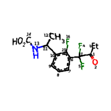 CCC(=O)C(F)(F)c1cccc(C(C)NC(=O)O)c1F